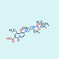 CCc1cc(C(=O)O)c(=O)n2ccc(N3CCC(C(C)NC(=O)OC(C)(C)C)C3)c(OC)c12